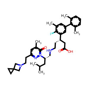 Cc1cc(-c2c(C)cccc2C)cc([C@@H](CCNC[C@H](CC(C)C)n2nc(CCN3CC4(CC4)C3)cc(C)c2=O)CC(=O)O)c1F